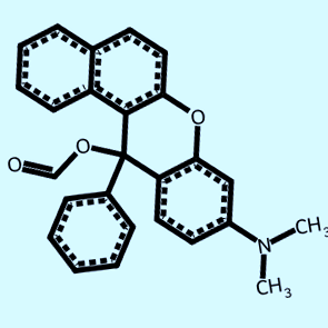 CN(C)c1ccc2c(c1)Oc1ccc3ccccc3c1C2(OC=O)c1ccccc1